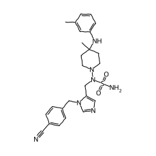 Cc1cccc(NC2(C)CCN(N(Cc3cncn3Cc3ccc(C#N)cc3)S(N)(=O)=O)CC2)c1